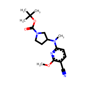 COc1nc(N(C)C2CCN(C(=O)OC(C)(C)C)C2)ccc1C#N